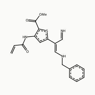 C=CC(=O)Nc1cc(/C(C=N)=C/NCc2ccccc2)sc1C(=O)OC